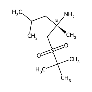 CC(C)C[C@](C)(N)CS(=O)(=O)C(C)(C)C